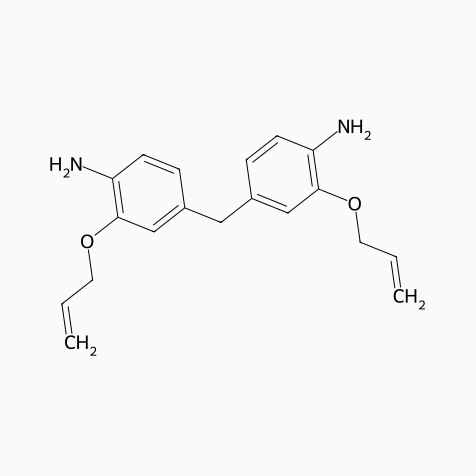 C=CCOc1cc(Cc2ccc(N)c(OCC=C)c2)ccc1N